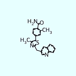 Cc1cc(-c2sc(Cc3cnc4ccccc4c3)nc2C)ccc1C(N)=O